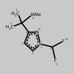 CNC(C)(C)c1ccn(C(F)F)n1